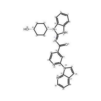 O=C(/N=c1\[nH]c2ccccc2n1[C@H]1CC[C@@H](O)CC1)c1ccnc(-n2ccc3cccnc32)c1